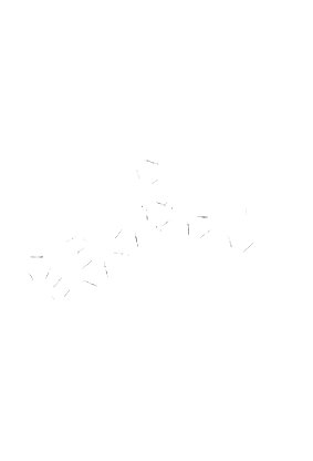 CCC1C(C)=CC=C(c2ccc(-c3nc(-c4ccccc4)nc(-c4ccc(-c5ccc6c(c5)C5(c7ccccc7Oc7ccccc75)c5ccccc5-6)cc4)n3)cc2)C1C